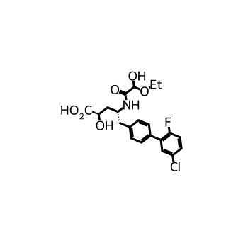 CCOC(O)C(=O)N[C@H](Cc1ccc(-c2cc(Cl)ccc2F)cc1)C[C@@H](O)C(=O)O